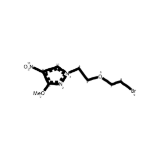 COc1nn(CCOCCBr)cc1[N+](=O)[O-]